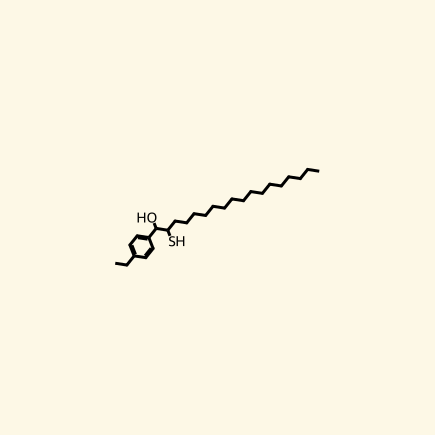 CCCCCCCCCCCCCCCCC(S)C(O)c1ccc(CC)cc1